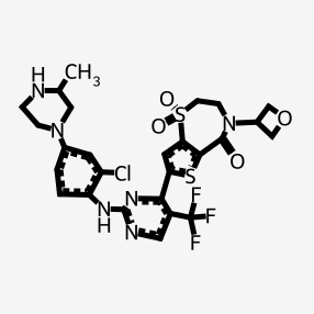 CC1CN(c2ccc(Nc3ncc(C(F)(F)F)c(-c4cc5c(s4)C(=O)N(C4COC4)CCS5(=O)=O)n3)c(Cl)c2)CCN1